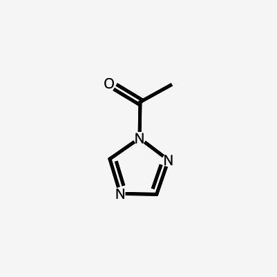 CC(=O)n1cncn1